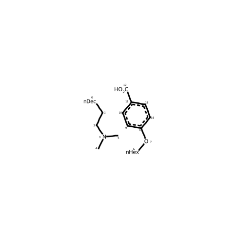 CCCCCCCCCCCCN(C)C.CCCCCCOc1ccc(C(=O)O)cc1